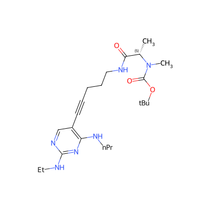 CCCNc1nc(NCC)ncc1C#CCCCNC(=O)[C@H](C)N(C)C(=O)OC(C)(C)C